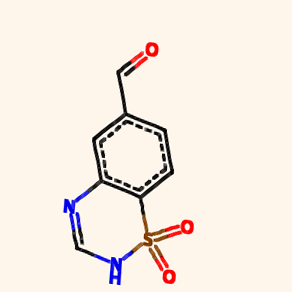 O=Cc1ccc2c(c1)N=CNS2(=O)=O